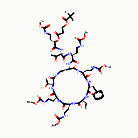 CCC(C)(C)C(=O)OCCC(=O)O[C@@H](CCNC(=O)OC(C)(C)C)C(=O)N[C@H](C(=O)N[C@@H](CCNC(=O)OC(C)(C)C)C(=O)N[C@H]1CCNC(=O)[C@H](C(C)O)NC(=O)[C@H](CCNC(=O)OC(C)(C)C)NC(=O)[C@H](CCNC(=O)OC(C)(C)C)NC(=O)[C@H](CC(C)C)NC(=O)[C@@H](Cc2ccccc2)NC(=O)[C@H](CCNC(=O)OC(C)(C)C)NC1=O)C(C)O